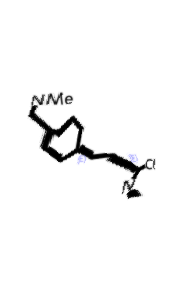 C=N/C(Cl)=C\C=C1\C=CC(CNC)=CC1